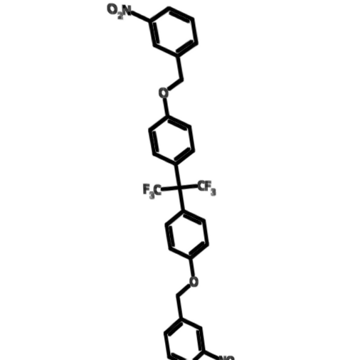 O=[N+]([O-])c1cccc(COc2ccc(C(c3ccc(OCc4cccc([N+](=O)[O-])c4)cc3)(C(F)(F)F)C(F)(F)F)cc2)c1